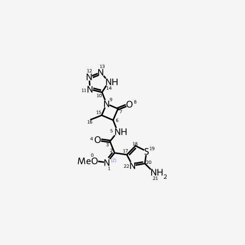 CO/N=C(\C(=O)NC1C(=O)N(c2nnn[nH]2)C1C)c1csc(N)n1